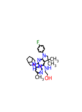 Cc1cc(N2CC3CCC(C2)C3Nc2nc(NCCO)c3c(n2)N(c2ccc(F)cc2)CC3(C)C)ncn1